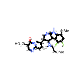 CNc1cc(F)c(F)c2c1[nH]c1ncc(-c3ccc4ncc(C(=O)O)c(=O)n4c3)c(N(C)CCOC)c12